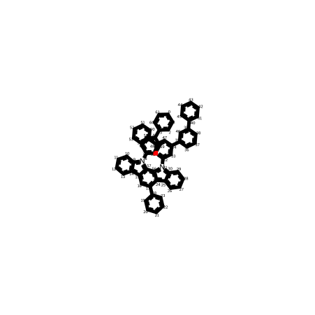 c1ccc(-c2ccc(-n3c4ccccc4c4cc(-c5ccccc5)c5c6ccccc6n(-c6cc(-c7cccc(-c8ccccc8)c7)cc(-c7ccccc7)n6)c5c43)cc2)cc1